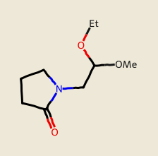 CCOC(CN1CCCC1=O)OC